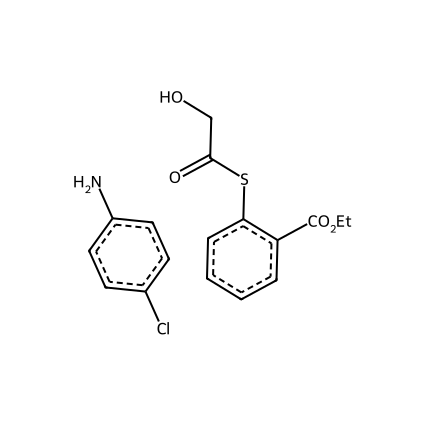 CCOC(=O)c1ccccc1SC(=O)CO.Nc1ccc(Cl)cc1